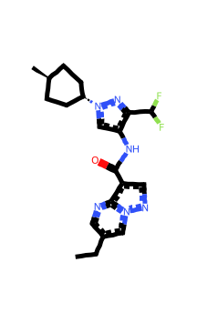 CCc1cnc2c(C(=O)Nc3cn([C@H]4CC[C@H](C)CC4)nc3C(F)F)cnn2c1